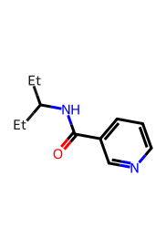 CCC(CC)NC(=O)c1cccnc1